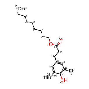 CCCCCCCCCCCCCCCCCCOC(=O)CCc1cc(CC)c(O)c(C(C)(C)C)c1